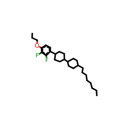 CCCCCCCCC1CCC(C2CCC(c3ccc(OCCC)c(F)c3F)CC2)CC1